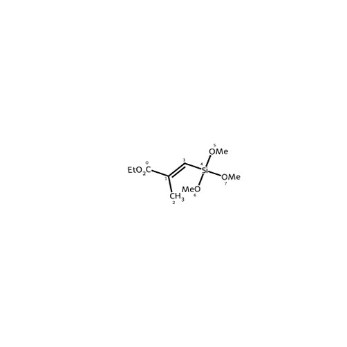 CCOC(=O)C(C)=C[Si](OC)(OC)OC